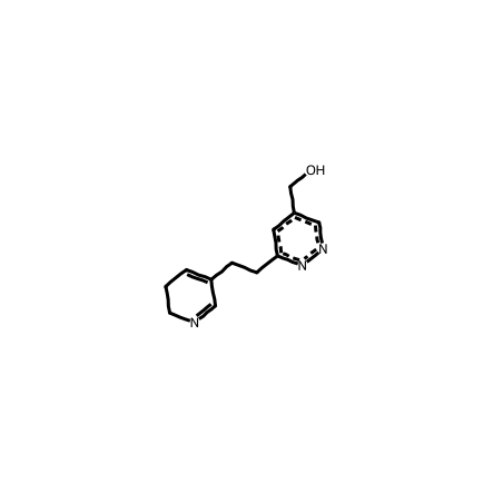 OCc1cnnc(CCC2=CCCN=C2)c1